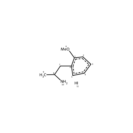 COc1ccccc1CC(C)N.I